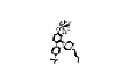 CCCCN1CCN(c2cc(OS(=O)(=O)C(F)(F)F)ccc2[C@H]2CC[C@@H](C(C)(C)C)CC2)CC1